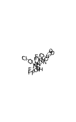 O=C(c1cccc(C(F)(F)F)c1-n1cnc(Cn2nc(-c3ccc(Cl)cc3)n(CC(O)C(F)(F)F)c2=O)n1)N1CCS(=O)(=O)CC1